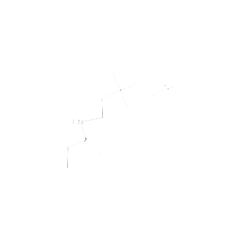 CC(C)(CCNC(=O)CI)OCN